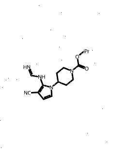 CC(C)OC(=O)N1CCC(n2ccc(C#N)c2NC=N)CC1